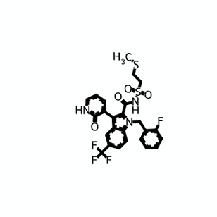 CSCCS(=O)(=O)NC(=O)c1c(-c2ccc[nH]c2=O)c2cc(C(F)(F)F)ccc2n1Cc1ccccc1F